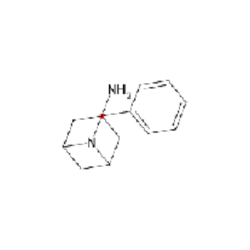 NC1CC2CC(C1)N2Cc1ccccc1